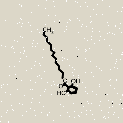 CCCCCCCCCCCCCCOC(=O)c1c(O)cccc1O